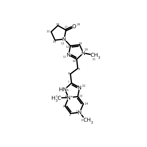 CN1C=C[N+]2(C)NC(CCc3nc(N4CCCC4=O)cn3C)=NC2=C1